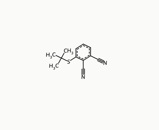 CC(C)(C)Sc1cccc(C#N)c1C#N